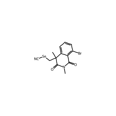 CN1C(=O)c2c(Br)cccc2C(C)(C[Se]C#N)C1=O